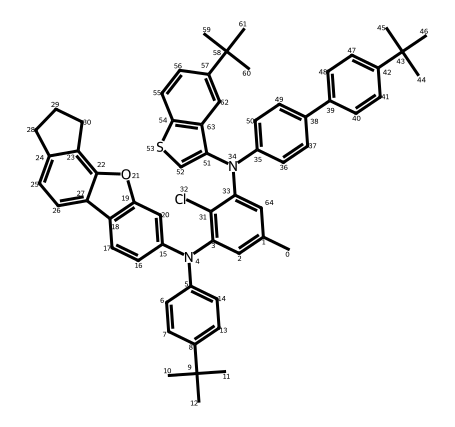 Cc1cc(N(c2ccc(C(C)(C)C)cc2)c2ccc3c(c2)oc2c4c(ccc23)CCC4)c(Cl)c(N(c2ccc(-c3ccc(C(C)(C)C)cc3)cc2)c2csc3ccc(C(C)(C)C)cc23)c1